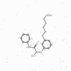 CCCCCCCCCCCCCCCc1cccc(OC(CC)C(=O)Nc2c[c]ccc2)c1